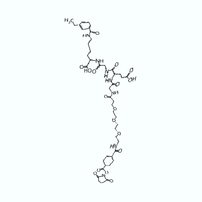 CCc1cccc(C(=O)NCCCCC(NC(=O)CNC(=O)C(CCC(=O)O)NC(=O)CNC(=O)CCOCCOCCOCCNC(=O)C2CCC(C(=O)ON3C(=O)CCC3=O)CC2)C(=O)O)c1